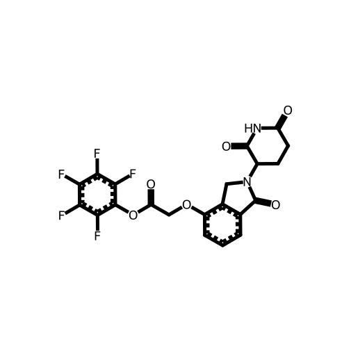 O=C1CCC(N2Cc3c(OCC(=O)Oc4c(F)c(F)c(F)c(F)c4F)cccc3C2=O)C(=O)N1